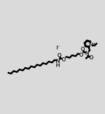 CCCCCCCCCCCCCCCCCNC(=O)OCCCCCOC(=O)N(Cc1cccc[n+]1CC)C(C)=O.[I-]